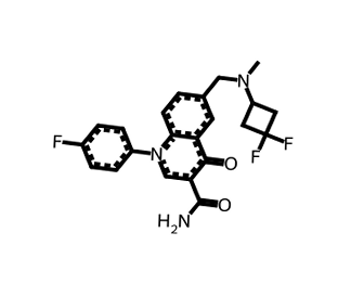 CN(Cc1ccc2c(c1)c(=O)c(C(N)=O)cn2-c1ccc(F)cc1)C1CC(F)(F)C1